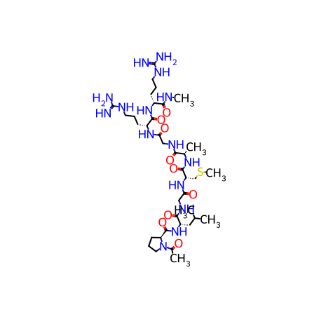 CNC(=O)[C@@H](CCCNC(=N)N)NC(=O)[C@@H](CCCNC(=N)N)NC(=O)CNC(=O)[C@H](C)NC(=O)[C@H](CSC)NC(=O)CNC(=O)[C@H](CC(C)C)NC(=O)[C@@H]1CCCN1C(C)=O